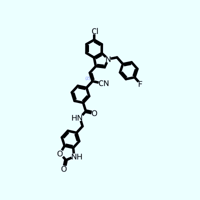 N#C/C(=C\c1cn(Cc2ccc(F)cc2)c2cc(Cl)ccc12)c1cccc(C(=O)NCc2ccc3oc(=O)[nH]c3c2)c1